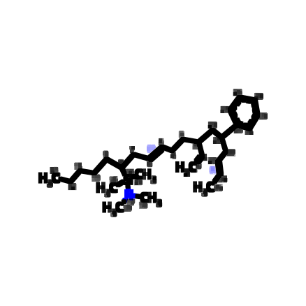 C=CC(CC/C=C/CC(CCCCC)[Si](C)(C)N(C)C)CC(C/C=C/C)c1ccccc1